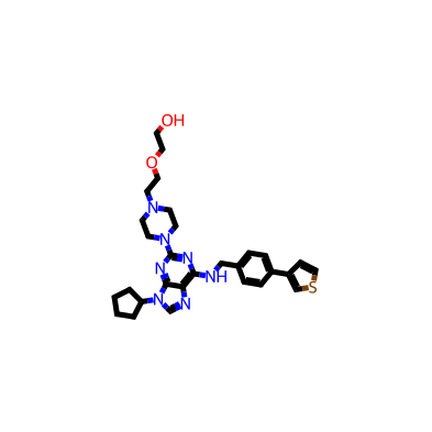 OCCOCCN1CCN(c2nc(NCc3ccc(-c4ccsc4)cc3)c3ncn(C4CCCC4)c3n2)CC1